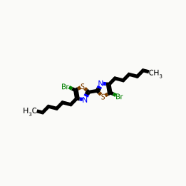 CCCCCCc1nc(-c2nc(CCCCCC)c(Br)s2)sc1Br